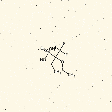 CCOC(CC)(C(F)(F)F)P(=O)(O)O